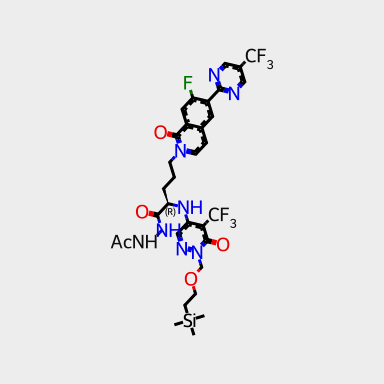 CC(=O)NNC(=O)[C@@H](CCCn1ccc2cc(-c3ncc(C(F)(F)F)cn3)c(F)cc2c1=O)Nc1cnn(COCC[Si](C)(C)C)c(=O)c1C(F)(F)F